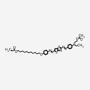 C=CC(=O)OCCCCCCCCCCCOc1ccc(N=Nc2cc3sc(N=Nc4ccc(N(CC)CCOC(C)=O)cc4)nc3s2)cc1